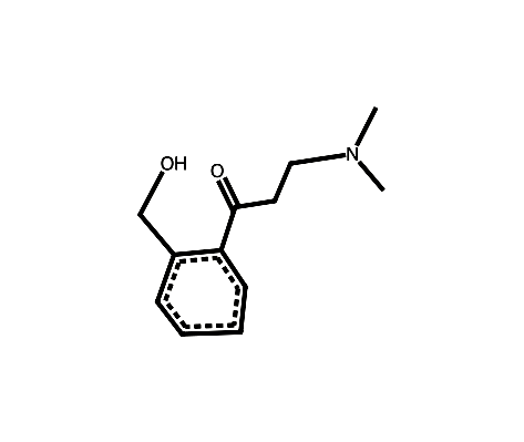 CN(C)CCC(=O)c1ccccc1CO